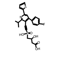 CC(C)c1nc(-c2cccs2)cc(-c2ccc(F)cc2)c1C#CP(=O)(O)CC(O)CC(=O)O